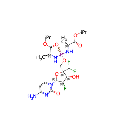 CC(C)OC(=O)[C@H](C)NP(=S)(N[C@@H](C)C(=O)OC(C)C)OC[C@@]1(C(F)F)O[C@@H](n2ccc(N)nc2=O)[C@H](F)[C@@H]1O